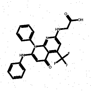 O=C(O)CNc1cc(C(F)(F)F)c2c(=O)cc(Nc3ccccc3)n(-c3ccccc3)c2n1